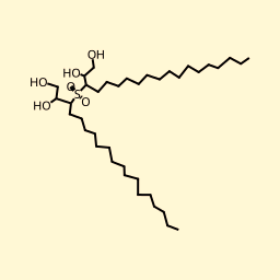 CCCCCCCCCCCCCCCCC(C(O)CO)S(=O)(=O)C(CCCCCCCCCCCCCCCC)C(O)CO